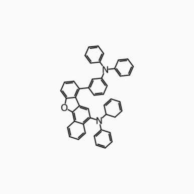 C1=CCC(N(c2ccccc2)c2cc3c(oc4cccc(-c5cccc(N(c6ccccc6)c6ccccc6)c5)c43)c3ccccc23)C=C1